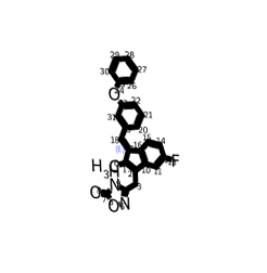 CC1=C(Cc2noc(=O)[nH]2)c2cc(F)ccc2/C1=C\c1cccc(Oc2ccccc2)c1